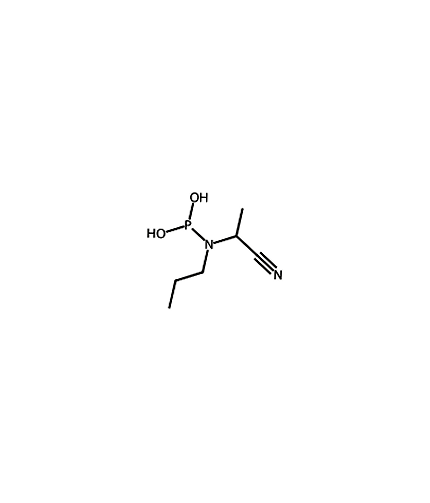 CCCN(C(C)C#N)P(O)O